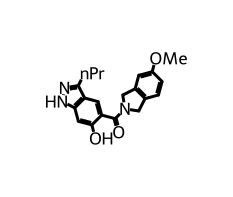 CCCc1n[nH]c2cc(O)c(C(=O)N3Cc4ccc(OC)cc4C3)cc12